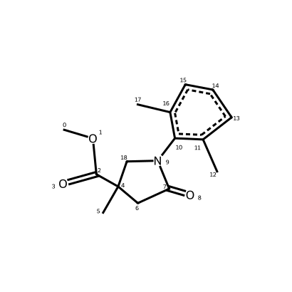 COC(=O)C1(C)CC(=O)N(c2c(C)cccc2C)C1